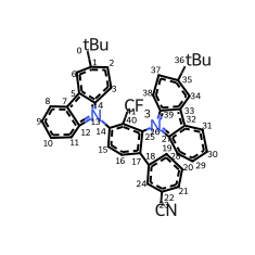 CC(C)(C)c1ccc2c(c1)c1ccccc1n2-c1ccc(-c2cccc(C#N)c2)c(-n2c3ccccc3c3cc(C(C)(C)C)ccc32)c1C(F)(F)F